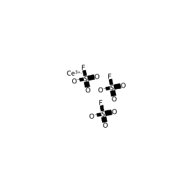 O=S(=O)([O-])F.O=S(=O)([O-])F.O=S(=O)([O-])F.[Ce+3]